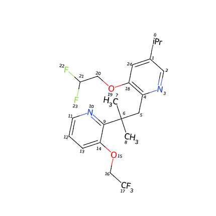 CC(C)c1cnc(CC(C)(C)c2ncccc2OCC(F)(F)F)c(OCC(F)F)c1